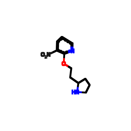 O=[N+]([O-])c1cccnc1OCCC1CCCN1